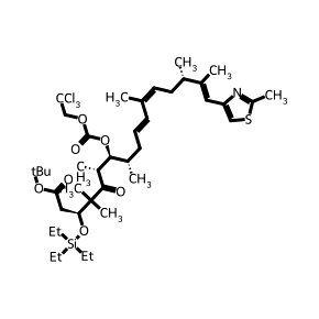 CC[Si](CC)(CC)O[C@@H](CC(=O)OC(C)(C)C)C(C)(C)C(=O)[C@H](C)[C@@H](OC(=O)OCC(Cl)(Cl)Cl)[C@@H](C)C/C=C/C(C)=C\C[C@H](C)/C(C)=C/c1csc(C)n1